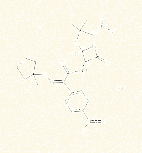 CC1(O/N=C(\C(=O)N[C@@H]2C(=O)N3[C@@H]2SC(C)(C)[C@@H]3C(=O)[O-])c2ccc([N+](=O)[O-])cc2)CCCC1.[Na+]